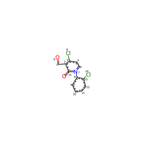 O=Cc1c(Cl)ccn(-c2ccccc2Cl)c1=O